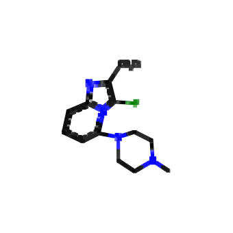 CCOC(=O)c1nc2cccc(N3CCN(C)CC3)n2c1F